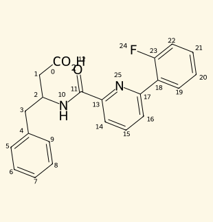 O=C(O)CC(Cc1ccccc1)NC(=O)c1cccc(-c2ccccc2F)n1